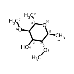 CO[C@@H]1C(O)[C@@H](OC)[C@H](C)O[C@H]1C